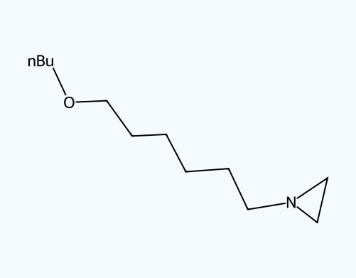 CCCCOCCCCCCN1CC1